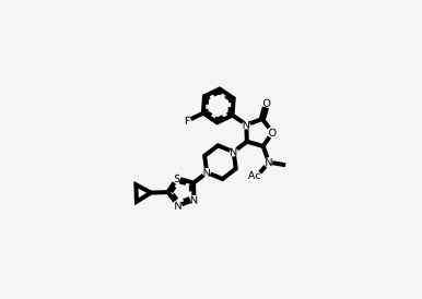 CC(=O)N(C)C1OC(=O)N(c2cccc(F)c2)C1N1CCN(c2nnc(C3CC3)s2)CC1